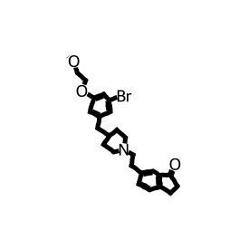 COCCOc1cc(Br)cc(CC2CCN(CCc3ccc4c(c3)C(=O)CC4)CC2)c1